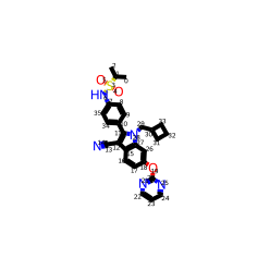 CC(C)S(=O)(=O)Nc1ccc(-c2c(C#N)c3ccc(Oc4ncccn4)cc3n2CC2CCC2)cc1